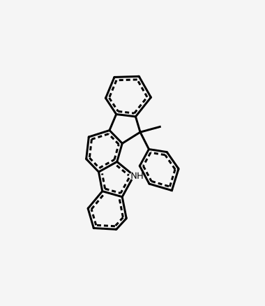 CC1(c2ccccc2)c2ccccc2-c2ccc3c([nH]c4ccccc43)c21